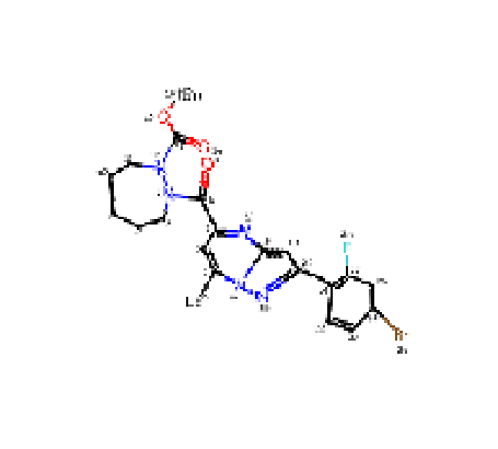 CCc1cc(C(=O)N2CCCCCN2C(=O)OC(C)(C)C)nc2cc(-c3ccc(Br)cc3F)nn12